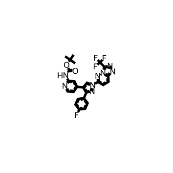 CC(C)(C)OC(=O)Nc1cc(-c2cn(-c3ccc4nnc(C(F)(F)F)n4n3)nc2-c2ccc(F)cc2)ccn1